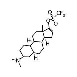 CN(C)[C@H]1CCC2[C@@H](CCC3[C@@H]2CCC2(C)C(OS(=O)(=O)C(F)(F)F)=CC[C@@H]32)C1